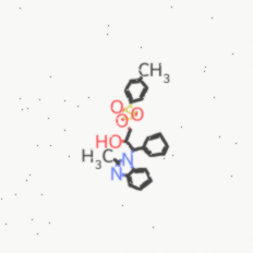 Cc1ccc(S(=O)(=O)OCC(O)C(c2ccccc2)n2c(C)nc3ccccc32)cc1